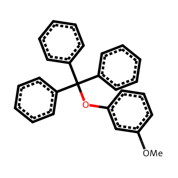 [CH2]Oc1cccc(OC(c2ccccc2)(c2ccccc2)c2ccccc2)c1